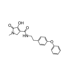 CN1CC(C(=O)NCCc2ccc(Oc3ccccc3)cc2)=C(O)C1=O